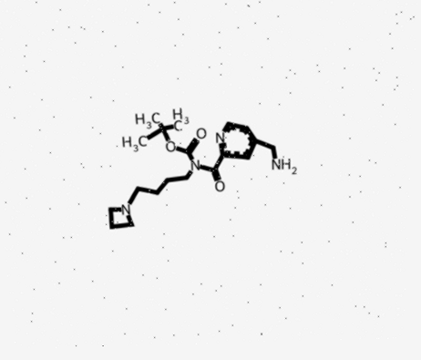 CC(C)(C)OC(=O)N(CCCCN1CCC1)C(=O)c1cc(CN)ccn1